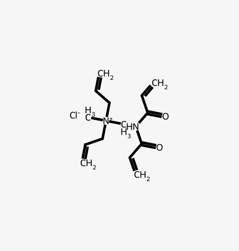 C=CC(=O)NC(=O)C=C.C=CC[N+](C)(C)CC=C.[Cl-]